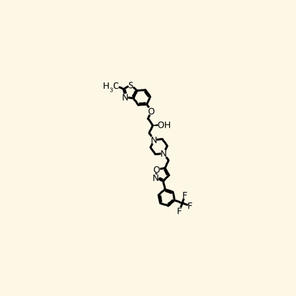 Cc1nc2cc(OC[C@@H](O)CN3CCN(Cc4cc(-c5cccc(C(F)(F)F)c5)no4)CC3)ccc2s1